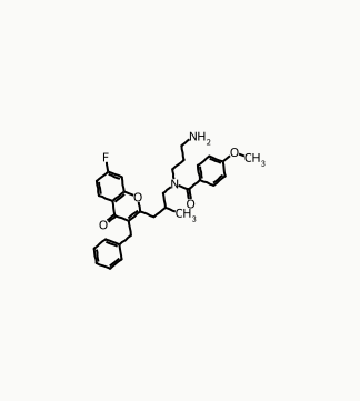 COc1ccc(C(=O)N(CCCN)CC(C)Cc2oc3cc(F)ccc3c(=O)c2Cc2ccccc2)cc1